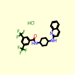 Cl.O=C(NC1CCC(Nc2ccc3ccccc3n2)CC1)c1cc(C(F)(F)F)cc(C(F)(F)F)c1